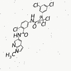 Cn1ccc2cc(NC(=O)c3cc(NC(=O)[C@H]4[C@H](c5cc(Cl)cc(Cl)c5)C4(Cl)Cl)ccc3Cl)cnc21